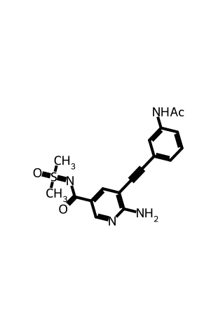 CC(=O)Nc1cccc(C#Cc2cc(C(=O)N=S(C)(C)=O)cnc2N)c1